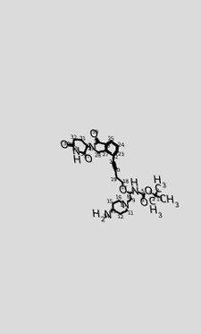 CC(C)(C)OC(=O)N[C@@H](CN1CCC(N)CC1)OCCC#Cc1cccc2c1CN(C1CCC(=O)NC1=O)C2=O